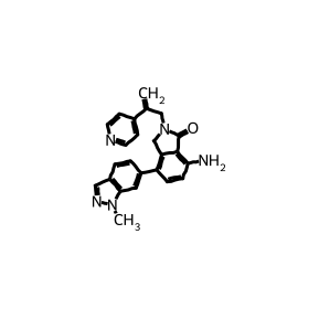 C=C(CN1Cc2c(-c3ccc4cnn(C)c4c3)ccc(N)c2C1=O)c1ccncc1